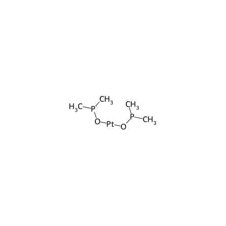 CP(C)[O][Pt][O]P(C)C